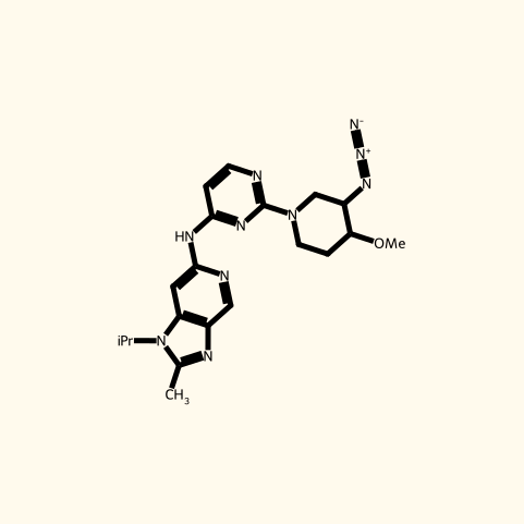 COC1CCN(c2nccc(Nc3cc4c(cn3)nc(C)n4C(C)C)n2)CC1N=[N+]=[N-]